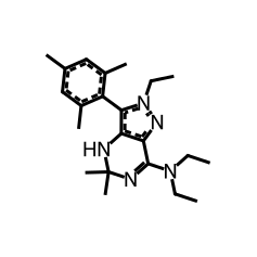 CCN(CC)C1=NC(C)(C)Nc2c1nn(CC)c2-c1c(C)cc(C)cc1C